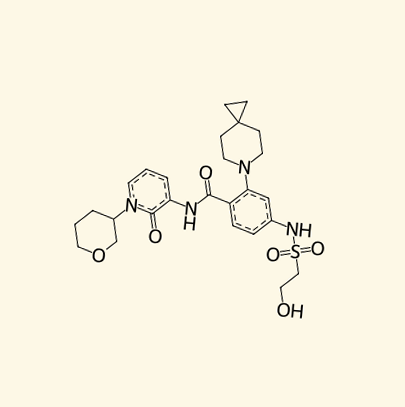 O=C(Nc1cccn(C2CCCOC2)c1=O)c1ccc(NS(=O)(=O)CCO)cc1N1CCC2(CC1)CC2